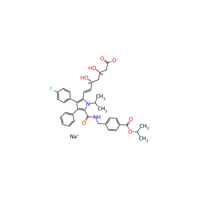 CC(C)OC(=O)c1ccc(CNC(=O)c2c(-c3ccccc3)c(-c3ccc(F)cc3)c(C=C[C@@H](O)C[C@@H](O)CC(=O)[O-])n2C(C)C)cc1.[Na+]